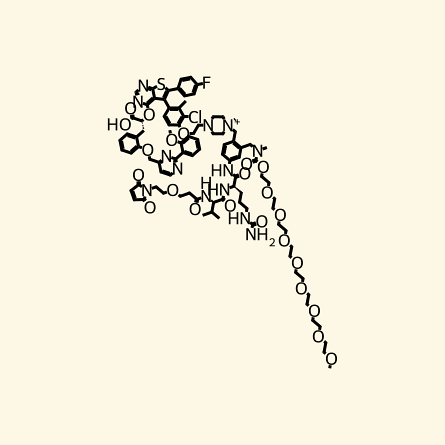 COCCOCCOCCOCCOCCOCCOCCOCCOC(=O)N(C)Cc1cc(NC(=O)[C@@H](CCCNC(N)=O)NC(=O)[C@H](NC(=O)CCOCCN2C(=O)C=CC2=O)C(C)C)ccc1C[N+]1(C)CCN(CCOc2ccc(-c3c(-c4ccc(F)cc4)sc4ncnc(O[C@H](Cc5ccccc5OCc5ccnc(-c6ccccc6OC)n5)C(=O)O)c34)c(C)c2Cl)CC1